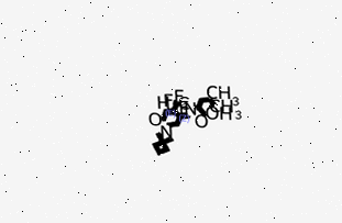 CC(C)CC(C(=O)O)N(C)/C=C(CCN1CC2(CCC2)C1)\C(=C/C=O)C(F)(F)F